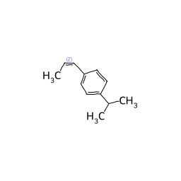 C/C=C\c1ccc(C(C)C)cc1